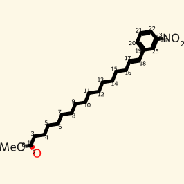 COC(=O)CCCCCCCCCCCCCC/C=C/c1cccc([N+](=O)[O-])c1